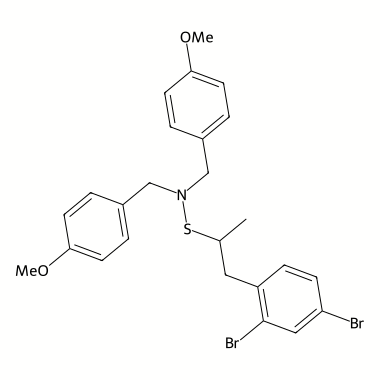 COc1ccc(CN(Cc2ccc(OC)cc2)SC(C)Cc2ccc(Br)cc2Br)cc1